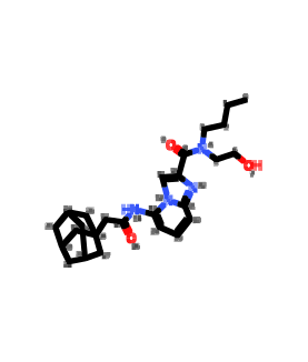 CCCCN(CCO)C(=O)c1cn2c(NC(=O)CC34CC5CC(CC(C5)C3)C4)cccc2n1